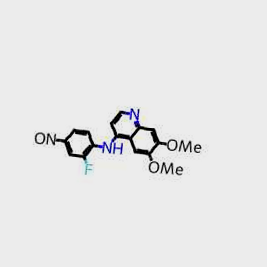 COc1cc2nccc(Nc3ccc(N=O)cc3F)c2cc1OC